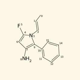 C/C=C/n1c(F)cc(N)c1-c1ccccc1